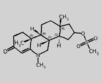 CN1C[C@@H]2[C@@H](CC[C@]3(C)CC(OS(C)(=O)=O)C[C@@H]23)[C@@]2(C)CCC(=O)C=C12